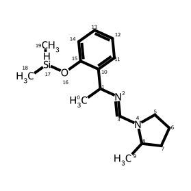 CC(N=CN1CCCC1C)c1ccccc1O[SiH](C)C